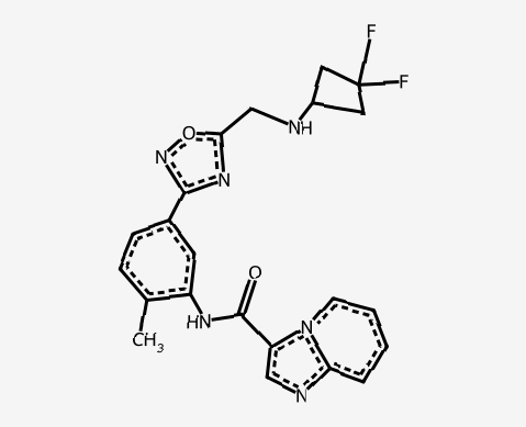 Cc1ccc(-c2noc(CNC3CC(F)(F)C3)n2)cc1NC(=O)c1cnc2ccccn12